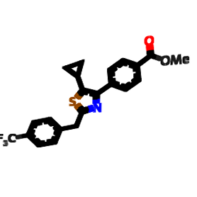 COC(=O)c1ccc(-c2nc(Cc3ccc(C(F)(F)F)cc3)sc2C2CC2)cc1